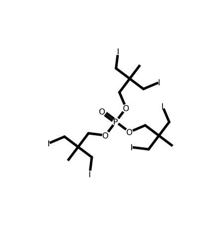 CC(CI)(CI)COP(=O)(OCC(C)(CI)CI)OCC(C)(CI)CI